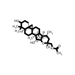 CC(=O)OC[C@@]1(C)C[C@@H](C)[C@H]2C(O1)[C@H](O)[C@@]1(C)C3CC[C@H]4C(C)(C)C(O)CC[C@@]45C[C@@]35CC[C@]21C